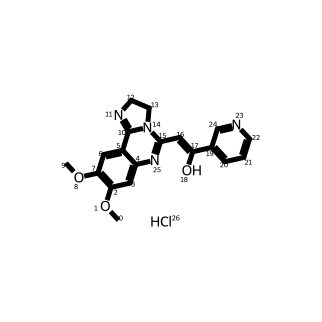 COc1cc2c(cc1OC)C1=NCCN1C(C=C(O)c1cccnc1)=N2.Cl